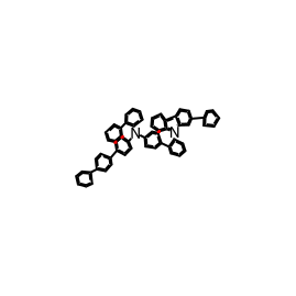 c1ccc(-c2ccc(-c3ccc(N(c4ccc(-c5ccccc5-n5c6ccccc6c6ccc(-c7ccccc7)cc65)cc4)c4ccccc4-c4ccccc4)cc3)cc2)cc1